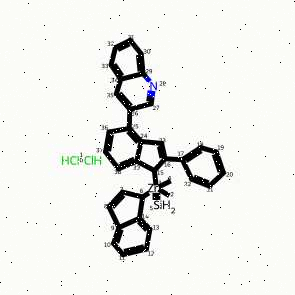 Cl.Cl.[CH3][Zr]([CH3])(=[SiH2])([CH]1C=Cc2ccccc21)[CH]1C(c2ccccc2)=Cc2c(-c3cnc4ccccc4c3)cccc21